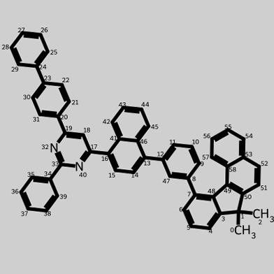 CC1(C)c2cccc(-c3cccc(-c4ccc(-c5cc(-c6ccc(-c7ccccc7)cc6)nc(-c6ccccc6)n5)c5ccccc45)c3)c2-c2c1ccc1ccccc21